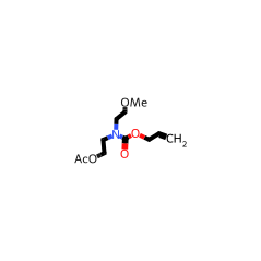 C=CCOC(=O)N(CCOC)CCOC(C)=O